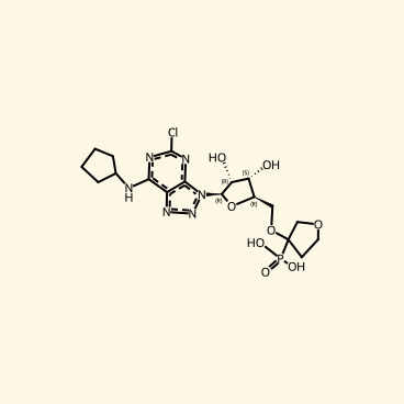 O=P(O)(O)C1(OC[C@H]2O[C@@H](n3nnc4c(NC5CCCC5)nc(Cl)nc43)[C@H](O)[C@@H]2O)CCOC1